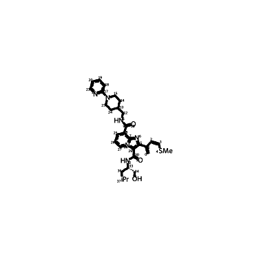 C=C(/C=C\SC)c1nc2c(C(=O)NCC3CCN(c4ccccn4)CC3)cccn2c1C(=O)N[C@H](CO)CC(C)C